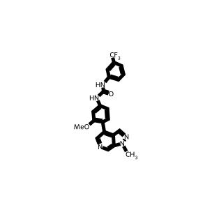 COc1cc(NC(=O)Nc2cccc(C(F)(F)F)c2)ccc1-c1cncc2c1cnn2C